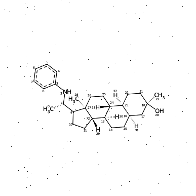 C[C@H](Nc1ccccc1)C1CC[C@H]2[C@@H]3CC[C@@H]4C[C@](C)(O)CC[C@@H]4[C@H]3CC[C@]12C